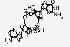 Nc1nc2c(ncn2[C@@H]2O[C@@H]3CO[P@@](=O)(S)O[C@@H]4C(CO[PH](=O)O[C@H]3[C@H]2O)O[C@@H](n2cnc3c(N)ncnc32)[C@@H]4F)c(=O)[nH]1